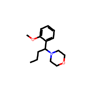 CCCC(c1ccccc1OC)N1CCOCC1